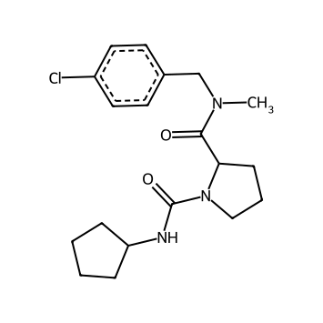 CN(Cc1ccc(Cl)cc1)C(=O)C1CCCN1C(=O)NC1CCCC1